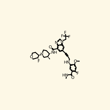 CNC(=O)c1cc(NCC#Cc2cc(C(=O)N[C@H]3CCN([C@@H]4CCOC[C@H]4F)C[C@@H]3C)c3ncn(CC(F)(F)F)c3c2)c(OC)cc1F